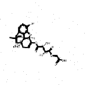 CC1CC[C@]23c4c5ccc(O)c4O[C@H]2C(OC(=O)[C@H](O)[C@@H](O)C(=O)OCC(=O)O)=CC[C@@]3(O)[C@H]1C5